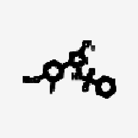 COc1ccc(-c2cc(C(F)(F)F)nn2NS(=O)(=O)c2ccccc2)cc1F